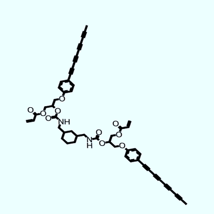 C=CC(=O)OCC(COc1ccc(C#CC#CC#CC#CC)cc1)OC(=O)NCC1CCCC(CNC(=O)OC(COC(=O)C=C)COc2ccc(C#CC#CC#CC#CC)cc2)C1